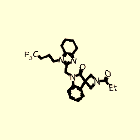 CCC(=O)N1CC2(C1)C(=O)N(Cc1nc3c(n1CCCC(F)(F)F)CCCC3)c1ccccc12